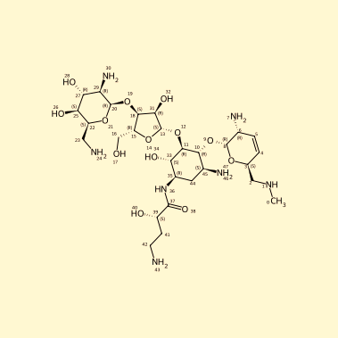 CNC[C@@H]1C=C[C@@H](N)[C@@H](O[C@H]2[C@H](O[C@@H]3O[C@H](CO)[C@@H](O[C@H]4O[C@@H](CN)[C@@H](O)[C@H](O)[C@H]4N)[C@H]3O)[C@@H](O)[C@H](NC(=O)[C@@H](O)CCN)C[C@@H]2N)O1